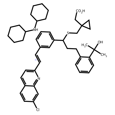 C1CCC(NC2CCCCC2)CC1.CC(C)(O)c1ccccc1CCC(SCC1(CC(=O)O)CC1)c1cccc(/C=C/c2ccc3ccc(Cl)cc3n2)c1